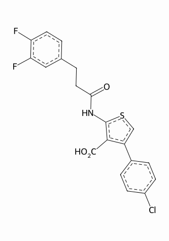 O=C(CCc1ccc(F)c(F)c1)Nc1scc(-c2ccc(Cl)cc2)c1C(=O)O